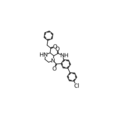 O=C(Cc1ccccc1)C1NCCN2C(=O)c3cc(-c4ccc(Cl)cc4)ccc3NC(=O)C12